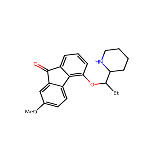 CCC(Oc1cccc2c1-c1ccc(OC)cc1C2=O)C1CCCCN1